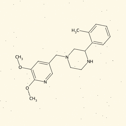 COc1cc(CN2CCNC(c3ccccc3C)C2)cnc1OC